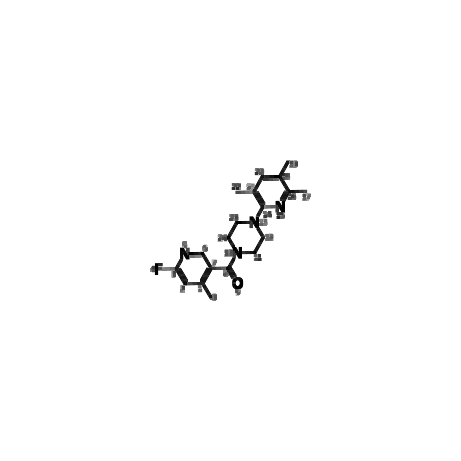 Cc1cc(F)ncc1C(=O)N1CCN(c2nc(C)c(C)cc2C)CC1